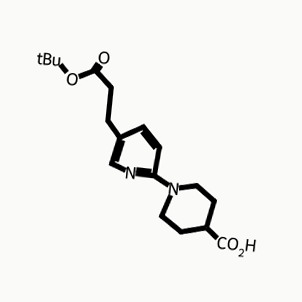 CC(C)(C)OC(=O)CCc1ccc(N2CCC(C(=O)O)CC2)nc1